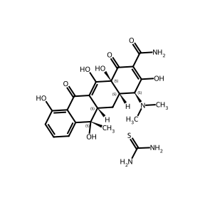 CN(C)[C@@H]1C(O)=C(C(N)=O)C(=O)[C@@]2(O)C(O)=C3C(=O)c4c(O)cccc4[C@@](C)(O)[C@H]3C[C@@H]12.NC(N)=S